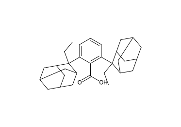 CCC1(c2cccc(C3(CC)C4CC5CC(C4)CC3C5)c2C(=O)O)C2CC3CC(C2)CC1C3